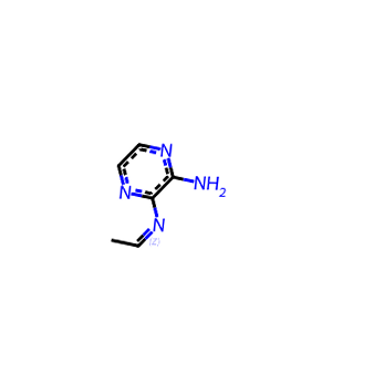 C/C=N\c1nccnc1N